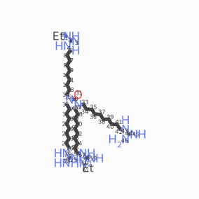 CCNC(=N)NCCCCCCCCCCN(CCCCCCCCCCNC(=N)N)C(=O)N(CCCCCCCCCCNC(=N)N)CCCCCCCCCCNC(=N)NCC